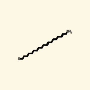 CCC=CCC=CCC=CCCCCCCCCCC=O